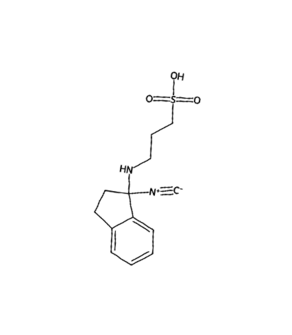 [C-]#[N+]C1(NCCCS(=O)(=O)O)CCc2ccccc21